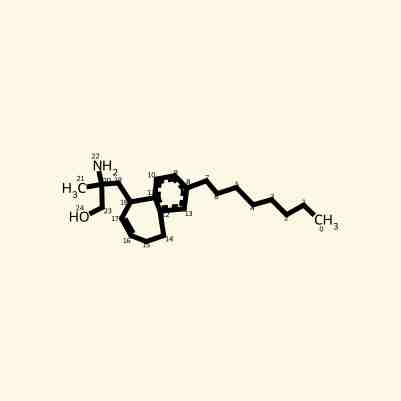 CCCCCCCCc1ccc2c(c1)CCC=CC2CC(C)(N)CO